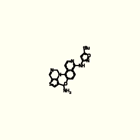 Cc1ccc2c(Nc3cc(C(C)(C)C)on3)nccc2c1N1CN=Cc2scc(C(N)=O)c21